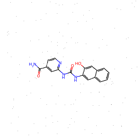 NC(=O)c1ccnc(NC(=O)Nc2cc3ccccc3cc2O)c1